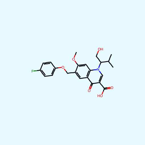 COc1cc2c(cc1COc1ccc(F)cc1)c(=O)c(C(=O)O)cn2C(CO)C(C)C